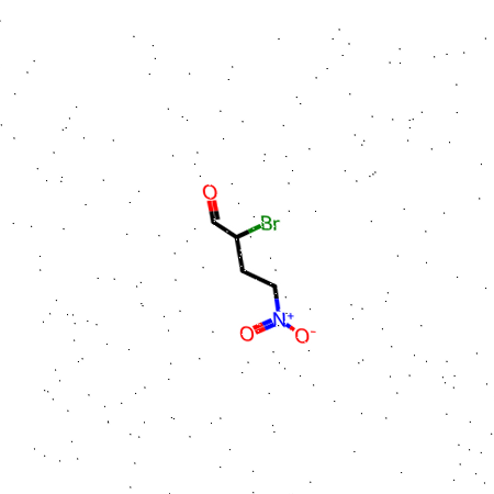 O=CC(Br)CC[N+](=O)[O-]